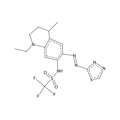 CCN1CCC(C)c2cc(N=Nc3nncs3)c(NS(=O)(=O)C(F)(F)F)cc21